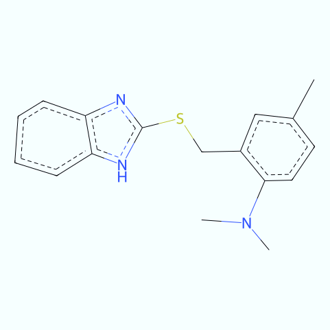 Cc1ccc(N(C)C)c(CSc2nc3ccccc3[nH]2)c1